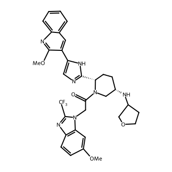 COc1ccc2nc(C(F)(F)F)n(CC(=O)N3C[C@@H](NC4CCOC4)CC[C@H]3c3ncc(-c4cc5ccccc5nc4OC)[nH]3)c2c1